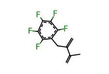 C=C(C)C(=C)Cc1c(F)c(F)c(F)c(F)c1F